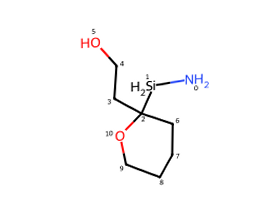 N[SiH2]C1(CCO)CCCCO1